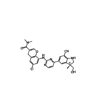 CN(C)C(=O)C1=COc2c(cc(Cl)cc2Nc2nccc(-c3cc(C#N)c4c(c3)[C@@](C)(CO)CN4)n2)C1